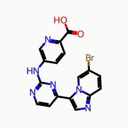 O=C(O)c1ccc(Nc2nccc(-c3cnc4ccc(Br)cn34)n2)cn1